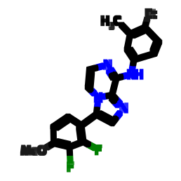 CCc1ccc(Nc2nccn3c(-c4ccc(OC)c(F)c4F)cnc23)cc1C